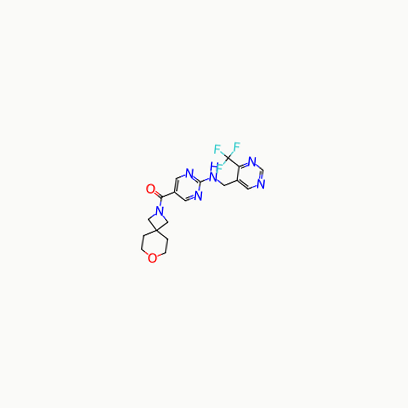 O=C(c1cnc(NCc2cncnc2C(F)(F)F)nc1)N1CC2(CCOCC2)C1